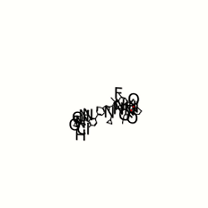 Cc1c(-c2cc3ccc(-c4ccc(Cl)c5c(NS(C)(=O)=O)nn(C)c45)cc3n2CC2CC2)nn2cc(C(=O)N3CC4CCC3[C@@H]4NC(=O)OC(C)(C)C)cc(F)c12